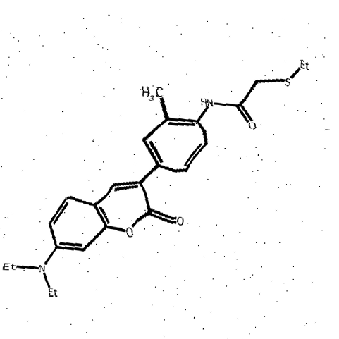 CCSCC(=O)Nc1ccc(-c2cc3ccc(N(CC)CC)cc3oc2=O)cc1C